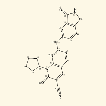 N#Cc1cc2cnc(Nc3ccc4c(c3)C(=O)NC4)nc2n(C2CCCC2)c1=O